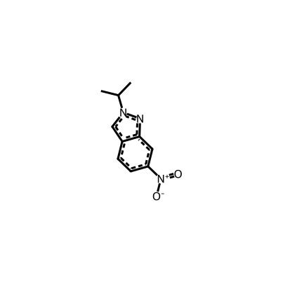 CC(C)n1cc2ccc([N+](=O)[O-])cc2n1